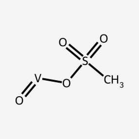 CS(=O)(=O)[O][V]=[O]